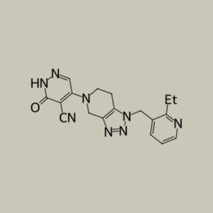 CCc1ncccc1Cn1nnc2c1CCN(c1cn[nH]c(=O)c1C#N)C2